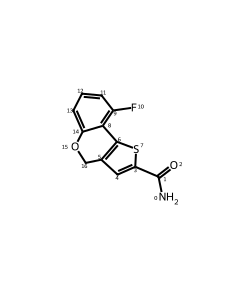 NC(=O)c1cc2c(s1)-c1c(F)cccc1OC2